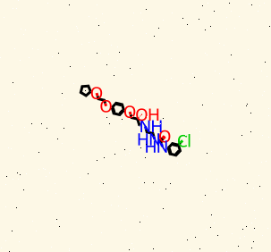 O=C(NCCNC[C@@H](O)COc1ccc(OCCOC2CCCC2)cc1)Nc1cccc(Cl)c1